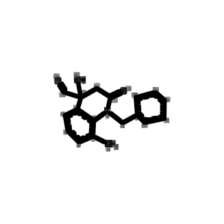 Cc1cccc2c1N(Cc1ccccc1)C(=O)CC2(O)C=O